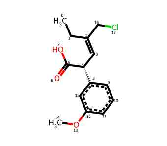 CC/C(=C\[C@@H](C(=O)O)c1cccc(OC)c1)CCl